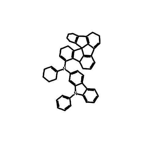 C1=CC2=C3C(C1)C1=C(CCC=C1N(C1=CCCCC1)c1ccc4c5ccccc5n(-c5ccccc5)c4c1)C31C3=C(CCCC3)C3=C1C2=CCC3